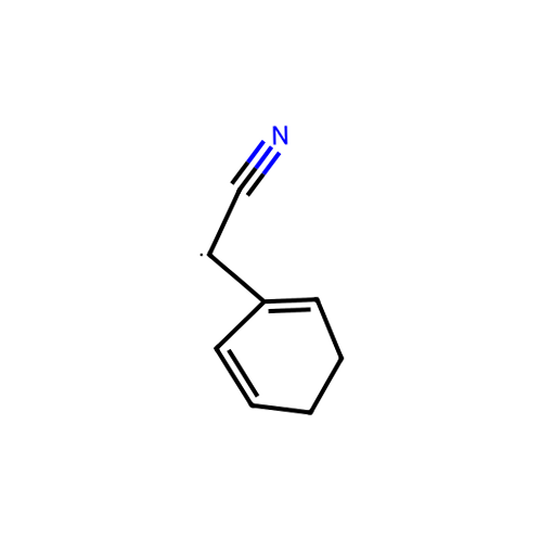 N#C[CH]C1=CCCC=C1